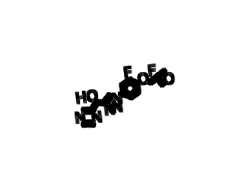 OC(c1cnccn1)c1cn(-c2ccc(OCC3(F)COC3)c(F)c2)nn1